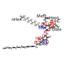 C#CC#CC#CC#CC#CC#CC#CCC(=O)CC(=O)N[C@H]1C(O)O[C@H](CO[C@@H]2O[C@H](COC)[C@@H](OP(=O)(OCC=C)OCC=C)[C@H](OCC[C@@H](CCCCCCC)OC)[C@H]2NC(=O)CCCCCCCCC/C=C\CCCCCC)[C@@H](C)[C@@H]1OCCCCCCCCCC